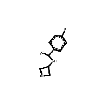 CCc1ccc(C(NC2CNC2)C(F)(F)F)cc1